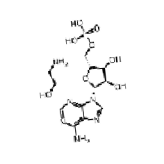 NCCO.Nc1ncnc2c1ncn2[C@@H]1O[C@H](COP(=O)(O)O)[C@@H](O)[C@H]1O